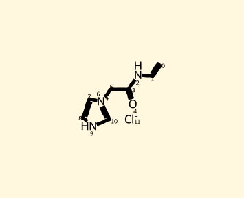 C=CNC(=O)C[n+]1cc[nH]c1.[Cl-]